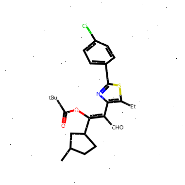 CCc1sc(-c2ccc(Cl)cc2)nc1/C(C=O)=C(\OC(=O)C(C)(C)C)C1CCC(C)C1